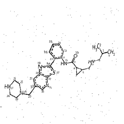 CC(C)CNCC1CC1C(=O)Nc1ccccc1-c1nc2cc(CN3CCNCC3)cnc2s1